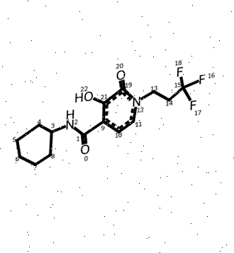 O=C(NC1CCCCC1)c1ccn(CCC(F)(F)F)c(=O)c1O